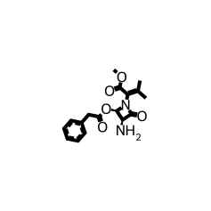 COC(=O)C(=C(C)C)N1C(=O)[C@@H](N)[C@H]1OC(=O)Cc1ccccc1